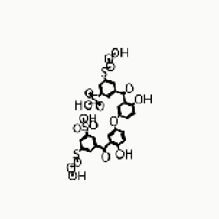 O=C(c1cc(SOOO)cc(S(=O)(=O)O)c1)c1cc(Oc2ccc(O)c(C(=O)c3cc(SOOO)cc(S(=O)(=O)O)c3)c2)ccc1O